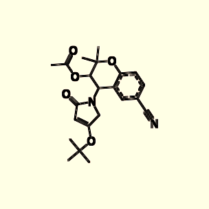 CC(=O)OC1C(N2CC(OC(C)(C)C)=CC2=O)c2cc(C#N)ccc2OC1(C)C